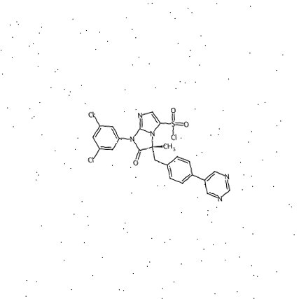 C[C@@]1(Cc2ccc(-c3cncnc3)cc2)C(=O)N(c2cc(Cl)cc(Cl)c2)c2ncc(S(=O)(=O)Cl)n21